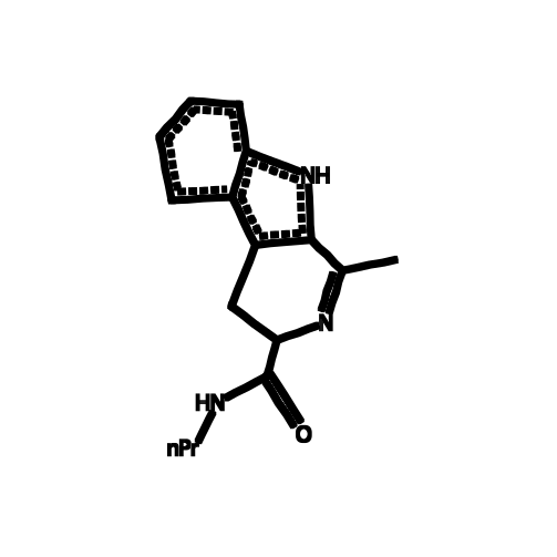 CCCNC(=O)C1Cc2c([nH]c3ccccc23)C(C)=N1